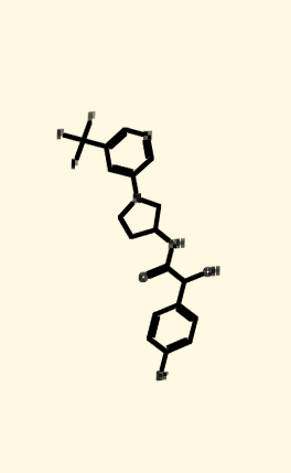 O=C(NC1CCN(c2cncc(C(F)(F)F)c2)C1)C(O)c1ccc(Br)cc1